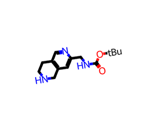 CC(C)(C)OC(=O)NCc1cc2c(cn1)CCNC2